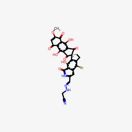 COC1=CC(=O)c2c(O)c3c(c(O)c2C1=O)C(=O)[C@]1(CCc2c1c(O)c1c(=O)[nH]c(/C=N/NCC#N)cc1c2Br)C3=O